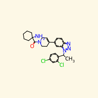 CC(c1ccc(Cl)cc1Cl)n1nnc2ccc(C3=CCN(C(=O)C4(N)CCCCC4)CC3)cc21